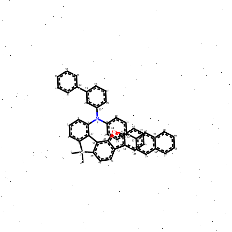 C[Si]1(C)c2cccc(N(c3ccc(-c4ccc5ccccc5c4)cc3)c3cccc(-c4ccccc4)c3)c2-c2c1ccc1c2oc2ccccc21